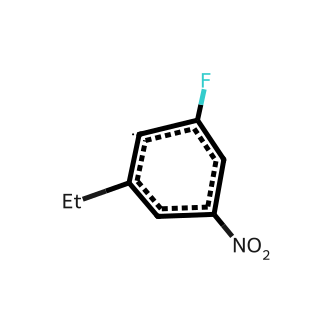 CCc1[c]c(F)cc([N+](=O)[O-])c1